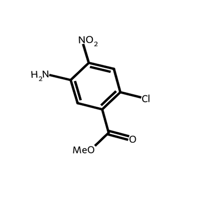 COC(=O)c1cc(N)c([N+](=O)[O-])cc1Cl